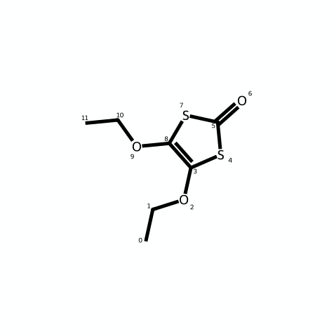 CCOc1sc(=O)sc1OCC